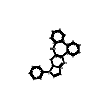 C1=CN(c2ccccc2)C2CC3=C(N=C12)c1ccccc1-c1ccccc1N3